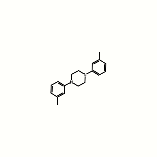 Cc1cccc(N2CCN(c3cccc(C)c3)CC2)c1